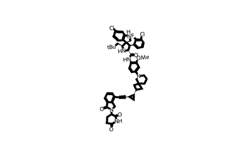 COc1cc(N2CCCC3(CC([C@@H]4C[C@@H]4C#Cc4cccc5c4CN(C4CCC(=O)NC4=O)C5=O)C3)C2)ccc1NC(=O)[C@@H]1N[C@@H](CC(C)(C)C)[C@@]2(CNc3cc(Cl)ccc32)[C@H]1c1cccc(Cl)c1F